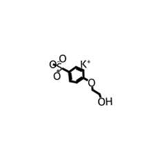 O=S(=O)([O-])c1ccc(OCCO)cc1.[K+]